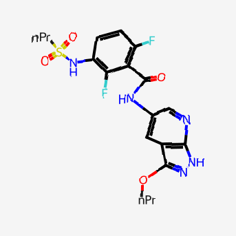 CCCOc1n[nH]c2ncc(NC(=O)c3c(F)ccc(NS(=O)(=O)CCC)c3F)cc12